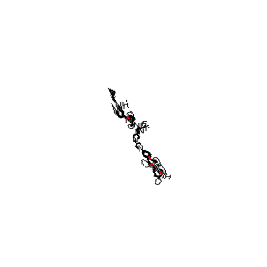 O=C1CCN(N2C(=O)c3ccc(N4CCC(CN5CCC(n6cc(NC(=O)c7coc(-c8ccnc(NCC9CC9)c8)n7)c(C(F)F)n6)CC5)CC4)cc3C2=O)C(=O)N1